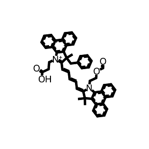 CC1(Cc2ccccc2)C(/C=C/C=C/C=C2\N(CCOC=O)c3c(c4ccccc4c4ccccc34)C2(C)C)=[N+](CCC(=O)O)c2c1c1ccccc1c1ccccc21